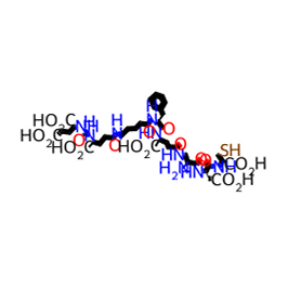 N[C@@H](CNC(=O)CC[C@H](NC(=O)[C@H](Cc1ccccc1)NC(=O)CCCCNC(=O)CC[C@H](NC(=O)N[C@@H](CCC(=O)O)C(=O)O)C(=O)O)C(=O)O)C(=O)N[C@@H](CC(=O)O)C(=O)N[C@@H](CS)C(=O)O